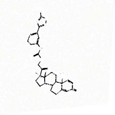 Cc1nc(C2=CCCC(NC(=O)OCC(=O)[C@@]3(O)CCC4C5CCC6=CC(=O)C=CC6(C)C5[C@@H](O)CC43C)=C2)no1